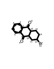 O=C1c2ccccc2C(=O)C2CC(Br)CCC12